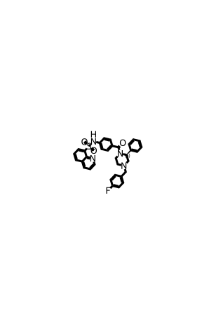 O=C(c1ccc(NS(=O)(=O)c2cccc3cccnc23)cc1)N1CCN(Cc2ccc(F)cc2)C[C@@H]1c1ccccc1